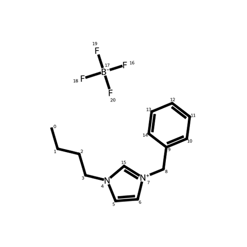 CCCCn1cc[n+](Cc2ccccc2)c1.F[B-](F)(F)F